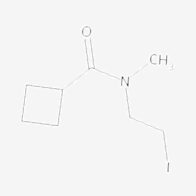 CN(CCI)C(=O)C1CCC1